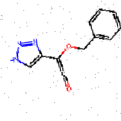 O=C=C(OCc1ccccc1)c1c[nH]nn1